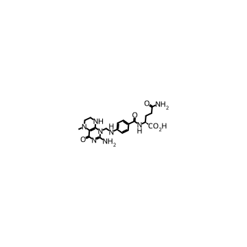 CN1CCNc2c1c(=O)nc(N)n2CNc1ccc(C(=O)N[C@@H](CCC(N)=O)C(=O)O)cc1